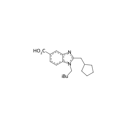 CCC(C)Cn1c(CC2CCCC2)nc2cc(C(=O)O)ccc21